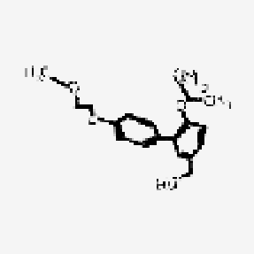 CCOCCOc1ccc(-c2cc(CO)ccc2OC(C)C)cc1